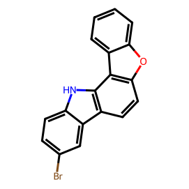 Brc1ccc2[nH]c3c(ccc4oc5ccccc5c43)c2c1